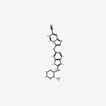 N#Cc1cc2ncc(Cc3ccc4nc(N[C@@H]5CCCC[C@H]5O)sc4c3)n2cn1